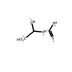 CCCC(C#N)C(=O)O.S=CS